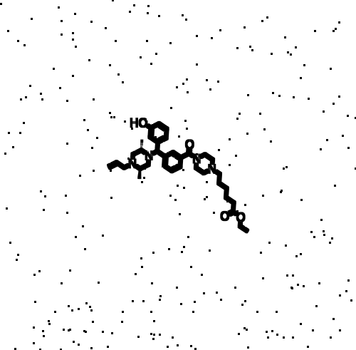 C=CCN1C[C@H](C)N(C(c2cccc(O)c2)c2cccc(C(=O)N3CCN(CCCCCC(=O)OCC)CC3)c2)C[C@H]1C